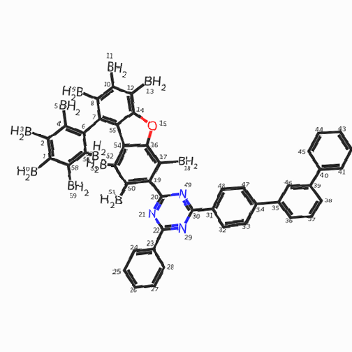 Bc1c(B)c(B)c(-c2c(B)c(B)c(B)c3oc4c(B)c(-c5nc(-c6ccccc6)nc(-c6ccc(-c7cccc(-c8ccccc8)c7)cc6)n5)c(B)c(B)c4c23)c(B)c1B